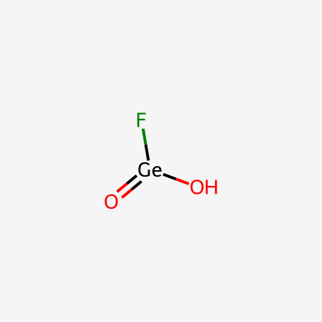 [O]=[Ge]([OH])[F]